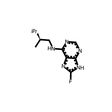 CC(C)[C@H](C)CNc1ncnc2[nH]c(F)nc12